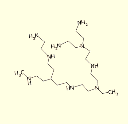 CCN(CCNCCC(CCNC)CCNCCN)CCNCCN(CCN)CCN